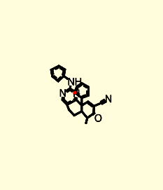 CC1C(=O)C(C#N)=CC2(c3ccccc3)c3nc(Nc4ccccc4)ncc3CCC12